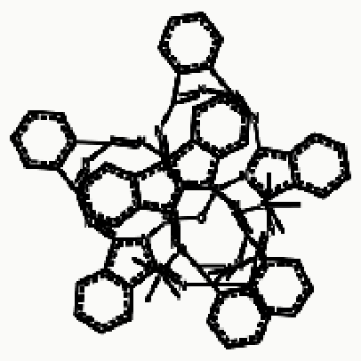 C[Si](C)(C)O[Si]1(O[Si]2(O[Si](C)(C)C)n3c4c5ccccc5c3/N=C3N=C(/N=c5/c6ccccc6/c(n52)=N/C2=NC(=N\4)/c4ccccc42)c2ccccc2\3)n2c3c4ccccc4c2/N=C2N=C(/N=c4/c5ccccc5/c(n41)=N/C1=NC(=N\3)/c3ccccc31)c1ccccc1\2